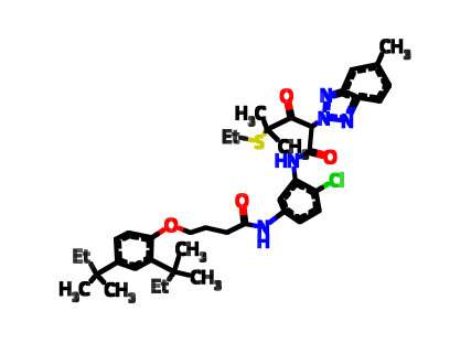 CCSC(C)(C)C(=O)C(C(=O)Nc1cc(NC(=O)CCCOc2ccc(C(C)(C)CC)cc2C(C)(C)CC)ccc1Cl)n1nc2ccc(C)cc2n1